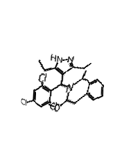 CCc1n[nH]c(CC)c1C(c1c(Cl)cc(Cl)cc1Cl)N1C(OC)Cc2ccccc2C1C